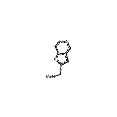 CNCc1cc2cnccc2s1